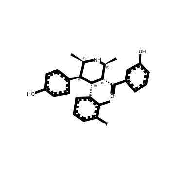 Cc1c(F)cccc1[C@H]1[C@@H](C(=O)c2cccc(O)c2)[C@H](C)N[C@H](C)[C@@H]1c1[c]cc(O)cc1